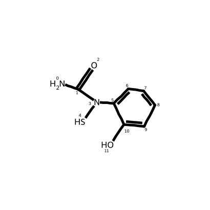 NC(=O)N(S)c1ccccc1O